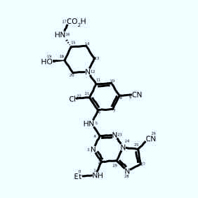 CCNc1nc(Nc2cc(C#N)cc(N3CC[C@@H](NC(=O)O)[C@H](O)C3)c2Cl)nn2c(C#N)cnc12